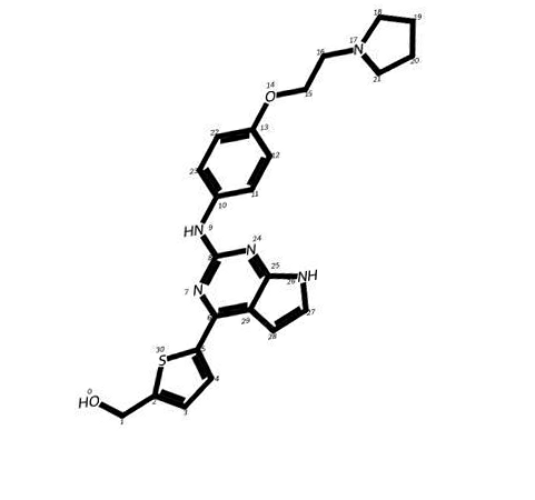 OCc1ccc(-c2nc(Nc3ccc(OCCN4CCCC4)cc3)nc3[nH]ccc23)s1